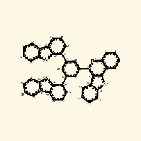 c1ccc2c(c1)nc(-c1cc(-c3cccc4c3sc3ccccc34)cc(-c3cccc4c3sc3ccccc34)c1)c1c3ccccc3sc21